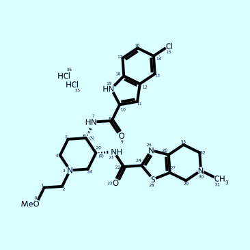 COCCN1CC[C@H](NC(=O)c2cc3cc(Cl)ccc3[nH]2)[C@H](NC(=O)c2nc3c(s2)CN(C)CC3)C1.Cl.Cl